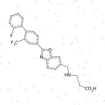 O=C(O)CCNCc1ccc2nc(-c3ccc(-c4ccccc4F)c(C(F)(F)F)c3)oc2c1